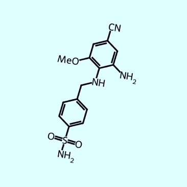 COc1cc(C#N)cc(N)c1NCc1ccc(S(N)(=O)=O)cc1